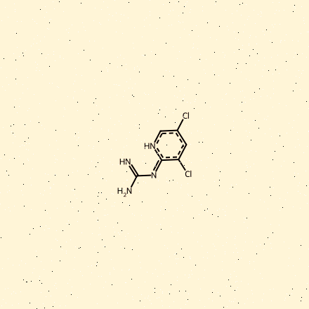 N=C(N)/N=c1\[nH]cc(Cl)cc1Cl